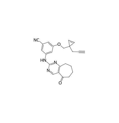 C#CCC1(COc2cc(C#N)cc(Nc3ncc4c(n3)CCCCC4=O)c2)C=C1